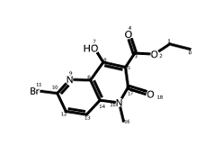 CCOC(=O)c1c(O)c2nc(Br)ccc2n(C)c1=O